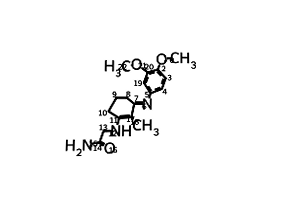 COc1ccc(N=C2CCCC(NCC(N)=O)=C2C)cc1OC